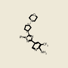 CC(C)n1nc(-c2cnc(N)c(C(F)(F)F)c2)nc1[C@H]1CC[C@H](N2CCOCC2)C1